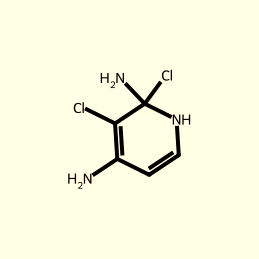 NC1=C(Cl)C(N)(Cl)NC=C1